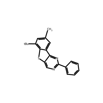 Cc1cc(C(C)(C)C)c2sc3cnc(-c4ccccc4)nc3c2c1